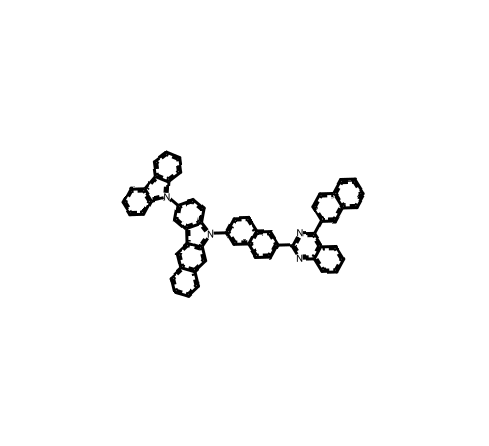 c1ccc2cc(-c3nc(-c4ccc5cc(-n6c7ccc(-n8c9ccccc9c9ccccc98)cc7c7cc8ccccc8cc76)ccc5c4)nc4ccccc34)ccc2c1